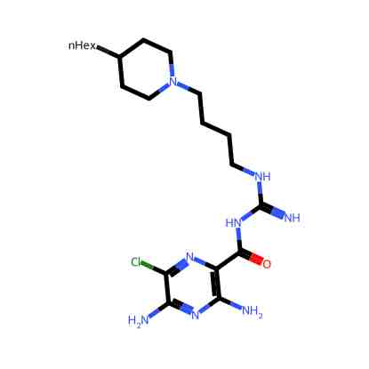 CCCCCCC1CCN(CCCCNC(=N)NC(=O)c2nc(Cl)c(N)nc2N)CC1